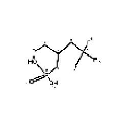 CCC(CC(F)(F)F)CP(=O)(O)O